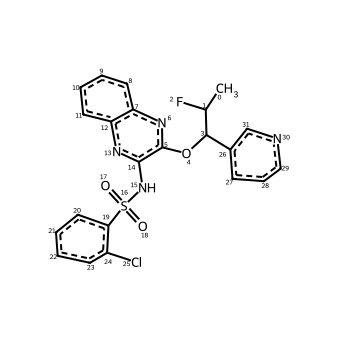 CC(F)C(Oc1nc2ccccc2nc1NS(=O)(=O)c1ccccc1Cl)c1cccnc1